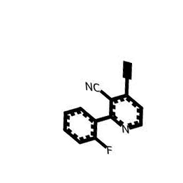 C#Cc1ccnc(-c2ccccc2F)c1C#N